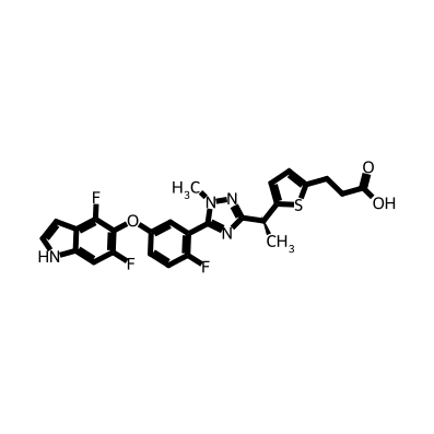 C[C@@H](c1nc(-c2cc(Oc3c(F)cc4[nH]ccc4c3F)ccc2F)n(C)n1)c1ccc(CCC(=O)O)s1